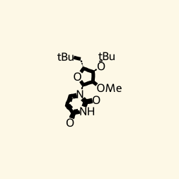 COC1[C@@H](OC(C)(C)C)[C@@H](CC(C)(C)C)O[C@H]1n1ccc(=O)[nH]c1=O